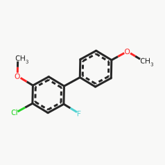 COc1ccc(-c2cc(OC)c(Cl)cc2F)cc1